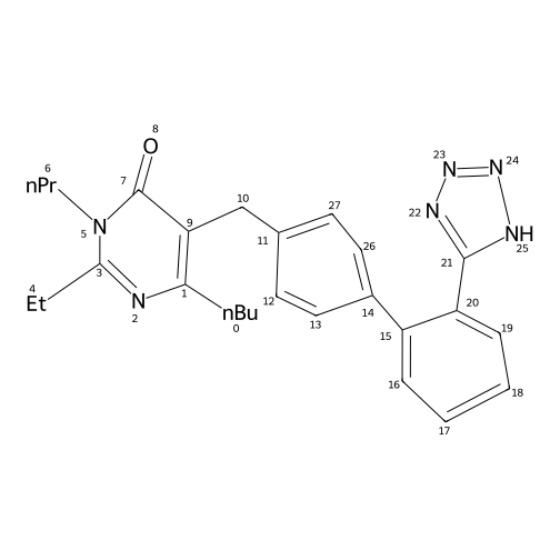 CCCCc1nc(CC)n(CCC)c(=O)c1Cc1ccc(-c2ccccc2-c2nnn[nH]2)cc1